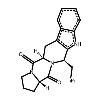 CC(C)C[C@@H]1c2[nH]c3ccccc3c2C[C@@H]2C(=O)N3CCC[C@H]3C(=O)N21